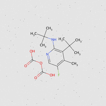 Cc1c(F)cnc(NC(C)(C)C)c1C(C)(C)C.O=C(O)OC(=O)O